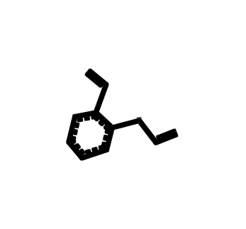 C=C[C]c1ccccc1C=C